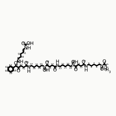 CC(=O)N(O)CCCCCNC(=O)CCC(=O)N(O)CCCCCNC(=O)CCC(=O)N(O)CCCCCNC(=O)CCC(=O)C(ONCCCCCNC(=O)O)c1ccccc1